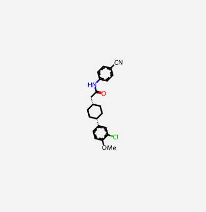 COc1ccc([C@H]2CC[C@@H](CC(=O)Nc3ccc(C#N)cc3)CC2)cc1Cl